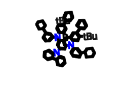 CC(C)(C)c1cc2c(cc1-c1ccccc1)B1c3cc(-c4ccccc4)c(C(C)(C)C)cc3N(c3cccc(C4CCCCC4)c3)c3cc(-n4c5ccccc5c5ccccc54)cc(c31)N2c1cccc(C2CCCCC2)c1